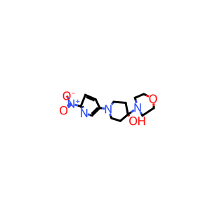 O=[N+]([O-])c1ccc(N2CCC(O)(N3CCOCC3)CC2)cn1